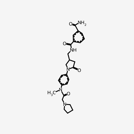 CN(C(=O)CN1CCCC1)c1ccc(N2CC(CNC(=O)c3cccc(C(N)=O)c3)CC2=O)cc1